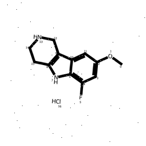 COc1cc(F)c2[nH]c3c(c2c1)CNCC3.Cl